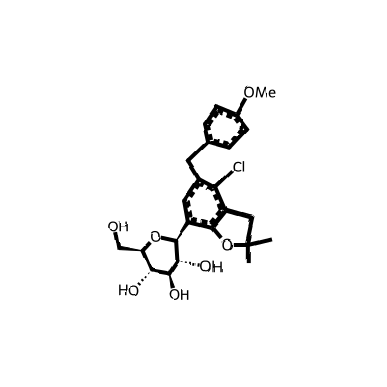 COc1ccc(Cc2cc([C@@H]3O[C@H](CO)[C@@H](O)[C@H](O)[C@H]3O)c3c(c2Cl)CC(C)(C)O3)cc1